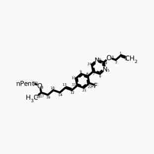 C=CCOc1ncc(-c2ccc(C=CCCCC(C)OCCCCC)cc2F)cn1